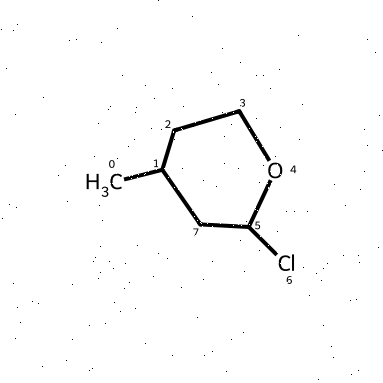 CC1CCOC(Cl)C1